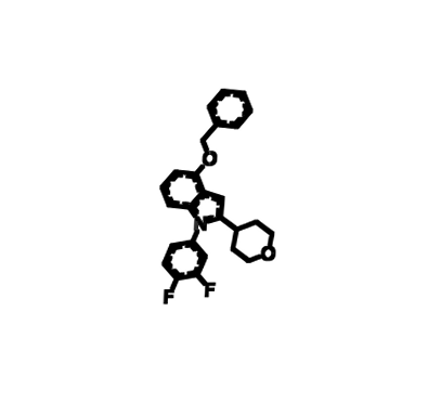 Fc1ccc(-n2c(C3CCOCC3)cc3c(OCc4ccccc4)cccc32)cc1F